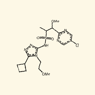 COCCn1c(NS(=O)(=O)C(C)C(OC)c2ncc(Cl)cn2)nnc1C1CCC1